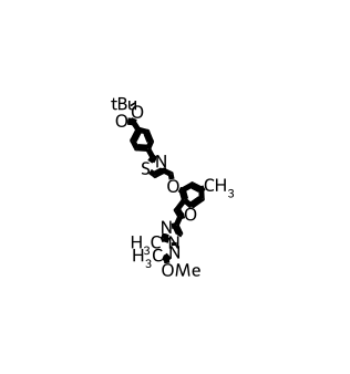 CO/C(C)=N/n1cc(-c2cc3c(OCc4csc(-c5ccc(C(=O)OC(C)(C)C)cc5)n4)cc(C)cc3o2)nc1C